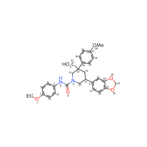 CCOc1ccc(NC(=O)N2CC(c3ccc4c(c3)OCO4)CC(C(=O)O)(c3ccc(OC)cc3)C2)cc1